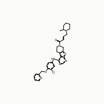 CC1CCCCN1CC=CC(=O)N1CCc2c(sc3ncnc(Nc4ccc(OCc5ccccn5)c(Cl)c4)c23)C1